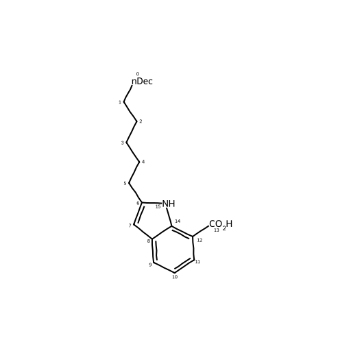 CCCCCCCCCCCCCCCc1cc2cccc(C(=O)O)c2[nH]1